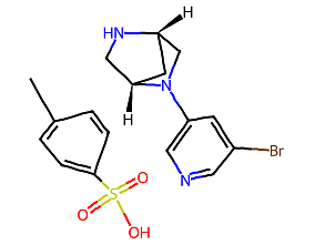 Brc1cncc(N2C[C@@H]3C[C@H]2CN3)c1.Cc1ccc(S(=O)(=O)O)cc1